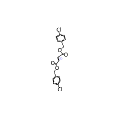 O=C(/C=C/C(=O)OCc1ccc(Cl)cc1)OCc1ccc(Cl)cc1